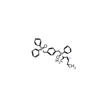 C=C/C=C\C(=C)P(=O)(Cc1ccc(CP(=O)(c2ccccc2)c2ccccc2)cc1)c1ccccc1